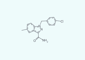 Cc1ccc2c(c1)c(C(N)=O)nn2Cc1ccc(Cl)cc1